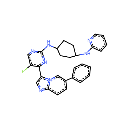 Fc1cnc(NC2CCC(Nc3ccccn3)CC2)nc1-c1cnc2ccc(-c3ccccc3)cn12